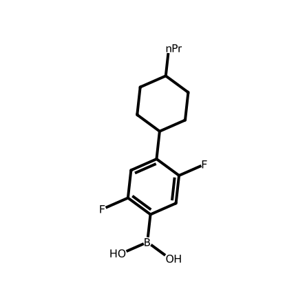 CCCC1CCC(c2cc(F)c(B(O)O)cc2F)CC1